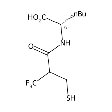 CCCC[C@H](NC(=O)C(CS)C(F)(F)F)C(=O)O